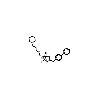 c1ccc(-c2ccc(CN3C[C@@H]4[C@H](COCCCN5CCCCC5)[C@@H]4C3)cc2)cc1